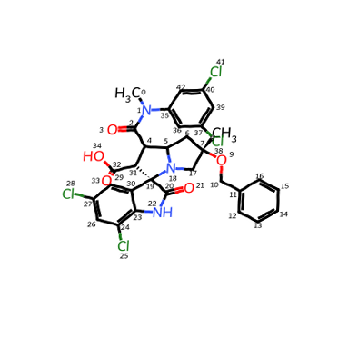 CN(C(=O)C1C2C[C@](C)(OCc3ccccc3)CN2[C@]2(C(=O)Nc3c(Cl)cc(Cl)cc32)C1C(=O)O)c1cc(Cl)cc(Cl)c1